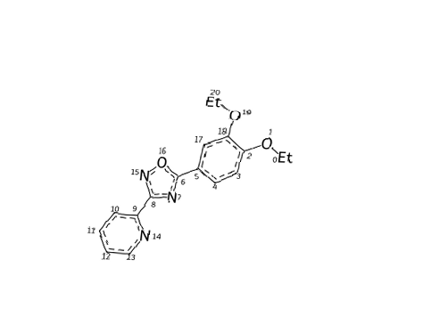 CCOc1ccc(-c2nc(-c3ccccn3)no2)cc1OCC